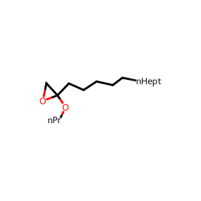 CCCCCCCCCCCCC1(OCCC)CO1